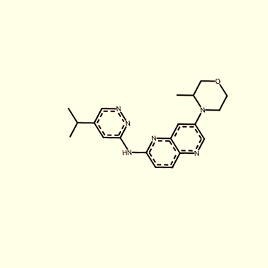 CC(C)c1cnnc(Nc2ccc3ncc(N4CCOCC4C)cc3n2)c1